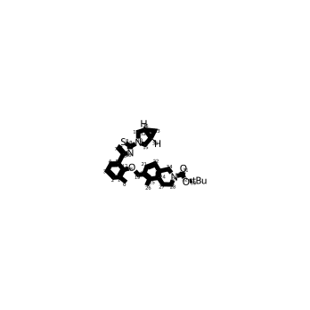 Cc1cccc(-c2csc(N3C[C@H]4C[C@H]4C3)n2)c1OCc1ccc2c(c1C)CCN(C(=O)OC(C)(C)C)C2